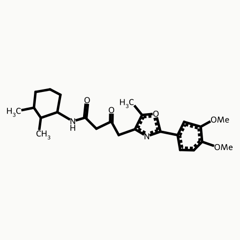 COc1ccc(-c2nc(CC(=O)CC(=O)NC3CCCC(C)C3C)c(C)o2)cc1OC